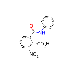 O=C(Nc1ccccc1)c1cccc([N+](=O)[O-])c1C(=O)O